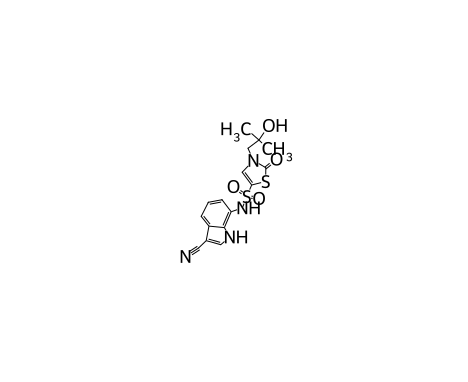 CC(C)(O)Cn1cc(S(=O)(=O)Nc2cccc3c(C#N)c[nH]c23)sc1=O